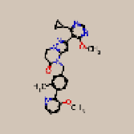 COc1cccnc1-c1ccc(CN2C(=O)CCn3nc(-c4c(OC)ncnc4C4CC4)cc32)cc1C